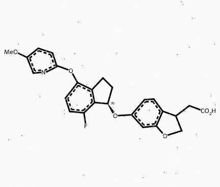 COc1ccc(Oc2ccc(F)c3c2CC[C@H]3Oc2ccc3c(c2)OCC3CC(=O)O)nc1